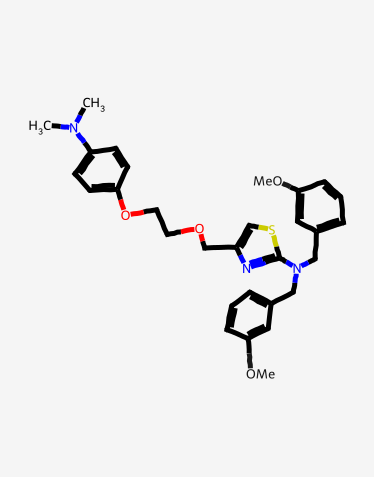 COc1cccc(CN(Cc2cccc(OC)c2)c2nc(COCCOc3ccc(N(C)C)cc3)cs2)c1